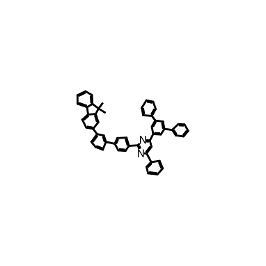 CC1(C)c2ccccc2-c2ccc(-c3cccc(-c4ccc(-c5nc(-c6ccccc6)cc(-c6cc(-c7ccccc7)cc(-c7ccccc7)c6)n5)cc4)c3)cc21